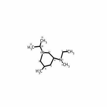 CCN(C)C1CC(C)CN(C(C)C)C1